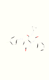 Cn1c(=O)cc(Nc2ccc(F)cc2F)c2c(=O)n(C3CC3)c(=O)n(-c3ccccc3)c21